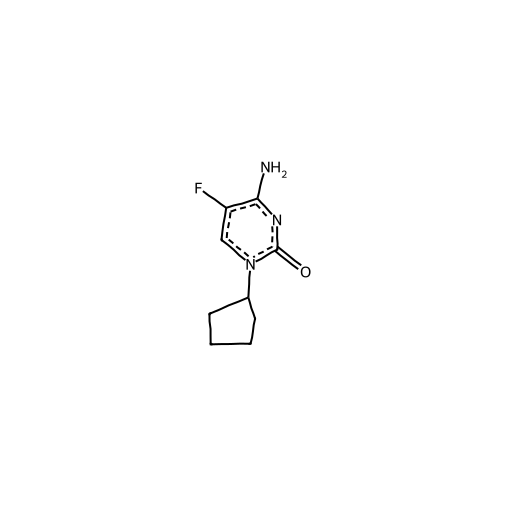 Nc1nc(=O)n(C2CCCC2)cc1F